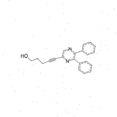 OCCCC#Cc1cnc(-c2ccccc2)c(-c2ccccc2)n1